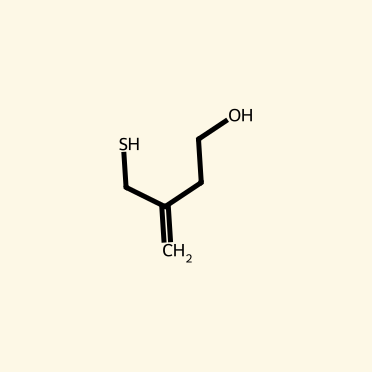 C=C(CS)CCO